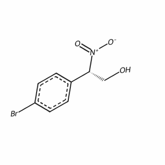 O=[N+]([O-])[C@H](CO)c1ccc(Br)cc1